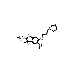 COc1cc2c(cc1OCCCN1CCCC1)N=C(N)C2(C)C